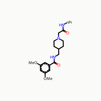 CCCNC(=O)CN1CCC(CNC(=O)c2cc(OC)cc(OC)c2)CC1